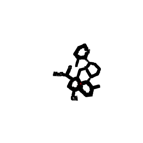 COC(=O)c1cc(C#N)ccc1CN1[C@@H](c2ncccc2C)CCC[C@H]1c1ncccc1C